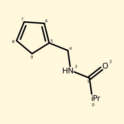 CC(C)C(=O)NCC1=CC=CC1